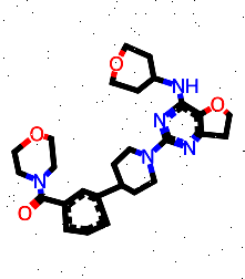 O=C(c1cccc(C2CCN(c3nc4c(c(NC5CCOCC5)n3)OCC4)CC2)c1)N1CCOCC1